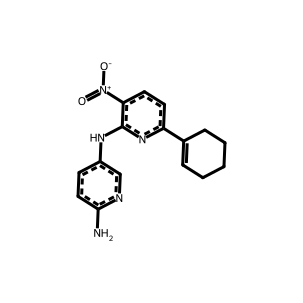 Nc1ccc(Nc2nc(C3=CCCCC3)ccc2[N+](=O)[O-])cn1